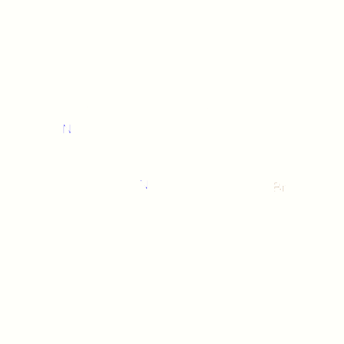 C=CN(c1ccncc1)c1cc(Br)ccc1C